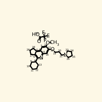 COc1cc2c3c(c(C4CCCCC4)nc2cc1OCCCN1CCCC1)CCC3.O=C(O)C(F)(F)F